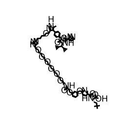 Cc1[nH]nc(COCCCCn2cc(COCCOCCOCCOCCOCCOCCNC(=O)COc3cccc(Oc4ccc(C(=O)N[C@@H](CCC(C)(C)C)C(=O)O)cn4)c3)nn2)c1-c1ccc(NC(=O)[C@@H](NC(=O)c2ccnn2C)C(C2CC2)C2CC2)cc1